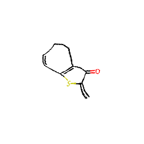 C=C1SC2=C(CCC=C2)C1=O